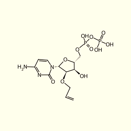 C=CCO[C@@H]1[C@H](O)[C@@H](COP(=O)(O)OP(=O)(O)O)O[C@H]1n1ccc(N)nc1=O